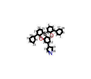 c1ccc(-c2cccc3c2Oc2cc(-c4ccncc4)cc4c2B3c2cccc(-c3ccccc3)c2O4)cc1